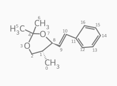 C[C@@H]1COC(C)(C)O[C@H]1/C=C/c1ccccc1